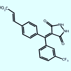 O=C(O)/C=C/c1ccc(C(=C2C(=O)NNC2=O)c2cccc(C(F)(F)F)c2)cc1